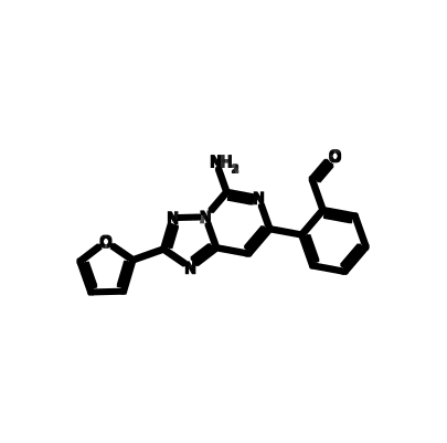 Nc1nc(-c2ccccc2C=O)cc2nc(-c3ccco3)nn12